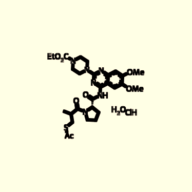 CCOC(=O)N1CCN(c2nc(NC(=O)[C@@H]3CCCN3C(=O)C(C)CSC(C)=O)c3cc(OC)c(OC)cc3n2)CC1.Cl.O